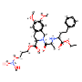 CCOC(=O)C(CCc1ccccc1)NC(C)C(=O)N1Cc2cc(OC)c(OC)cc2CC1C(=O)OCCCON(O)O